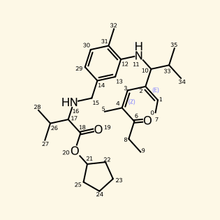 C/C=C(\C=C(\C)C(=O)CC)C(Nc1cc(CNC(C(=O)OC2CCCC2)C(C)C)ccc1C)C(C)C